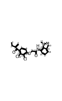 C=C(CC)C(=O)c1ccc(OCC(=O)Nc2cccc3cnn(C)c23)c(Cl)c1Cl